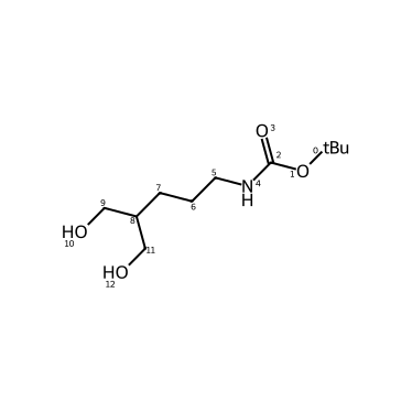 CC(C)(C)OC(=O)NCCCC(CO)CO